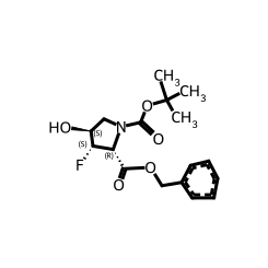 CC(C)(C)OC(=O)N1C[C@H](O)[C@@H](F)[C@H]1C(=O)OCc1ccccc1